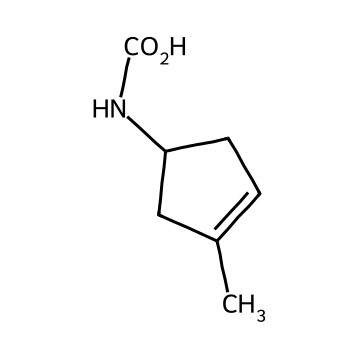 CC1=CCC(NC(=O)O)C1